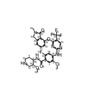 COc1cc(C(=O)N[C@@H]2CCNC[C@@H]2OC)c(F)cc1Nc1ncc(C(F)(F)F)c(Oc2cccc3c2C(=O)N(C)C3)n1